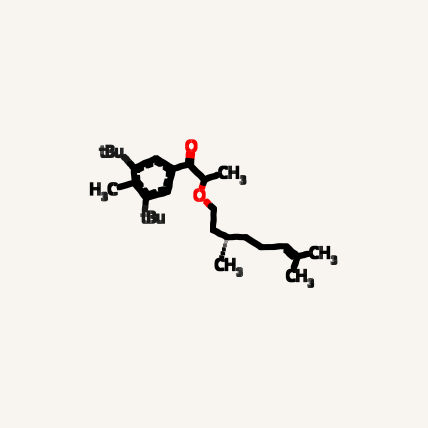 CC(C)=CCC[C@H](C)CCOC(C)C(=O)c1cc(C(C)(C)C)c(C)c(C(C)(C)C)c1